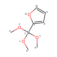 CO[Si](OC)(OC)c1ccco1